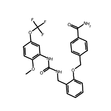 COc1ccc(OC(F)(F)F)cc1NC(=O)NCc1ccccc1OCc1ccc(C(N)=O)cc1